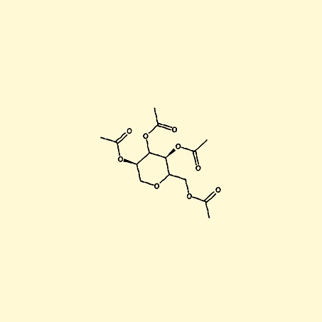 CC(=O)OCC1OC[C@@H](OC(C)=O)C(OC(C)=O)[C@H]1OC(C)=O